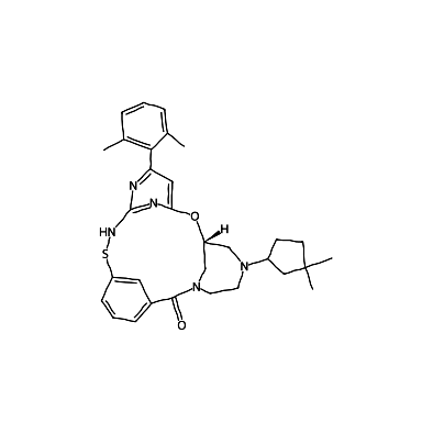 Cc1cccc(C)c1-c1cc2nc(n1)NSc1cccc(c1)C(=O)N1CCN(C3CCC(C)(C)C3)C[C@H](C1)O2